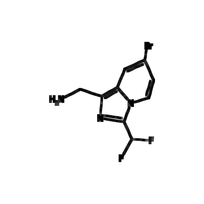 NCc1nc(C(F)F)n2ccc(Br)cc12